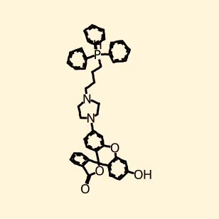 O=C1OC2(c3ccc(O)cc3Oc3cc(N4CCN(CCCC[PH](c5ccccc5)(c5ccccc5)c5ccccc5)CC4)ccc32)c2ccccc21